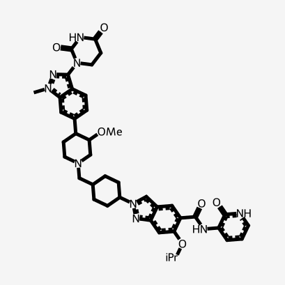 COC1CN(CC2CCC(n3cc4cc(C(=O)Nc5ccc[nH]c5=O)c(OC(C)C)cc4n3)CC2)CCC1c1ccc2c(N3CCC(=O)NC3=O)nn(C)c2c1